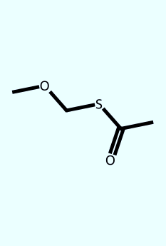 COCSC(C)=O